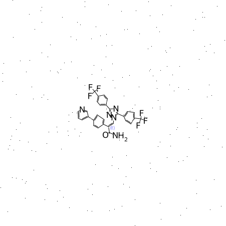 NC(=O)/C(=C/n1nc(-c2ccc(C(F)(F)F)cc2)nc1-c1ccc(C(F)(F)F)cc1)c1ccc(-c2cccnc2)cc1